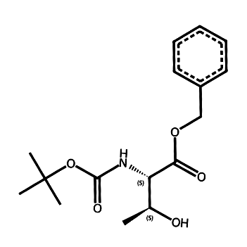 C[C@H](O)[C@H](NC(=O)OC(C)(C)C)C(=O)OCc1ccccc1